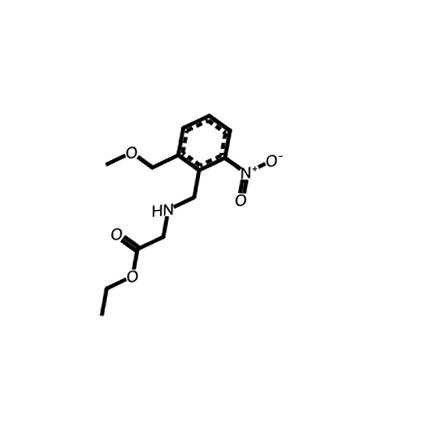 CCOC(=O)CNCc1c(COC)cccc1[N+](=O)[O-]